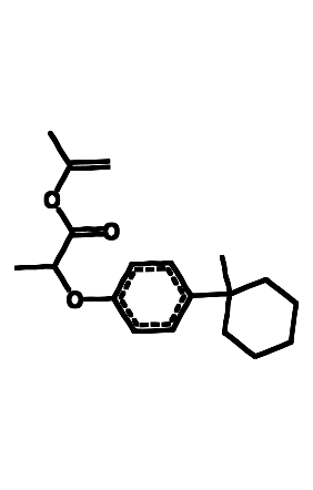 C=C(C)OC(=O)C(C)Oc1ccc(C2(C)CCCCC2)cc1